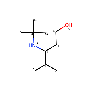 CC(C)C(CCO)NC(C)(C)C